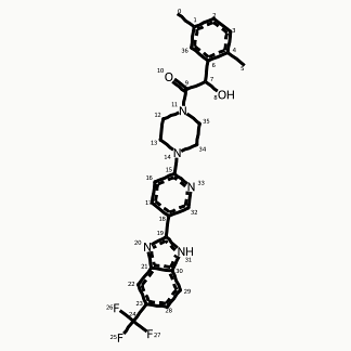 Cc1ccc(C)c(C(O)C(=O)N2CCN(c3ccc(-c4nc5cc(C(F)(F)F)ccc5[nH]4)cn3)CC2)c1